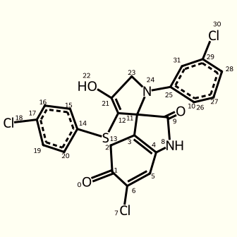 O=C1CC2=C(C=C1Cl)NC(=O)C21C(Sc2ccc(Cl)cc2)=C(O)CN1c1cccc(Cl)c1